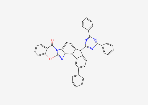 O=c1c2ccccc2oc2nc3c4c(ccc3n12)C(c1nc(-c2ccccc2)nc(-c2ccccc2)n1)c1ccc(-c2ccccc2)cc1-4